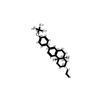 CCC[C@@H]1CC[C@@H]2c3ccc(-c4ccc(OC(F)(F)F)cc4)cc3CC[C@@H]2C1